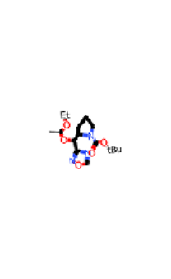 CCO[C@H](C)OC(c1ncon1)C1CCCN1C(=O)OC(C)(C)C